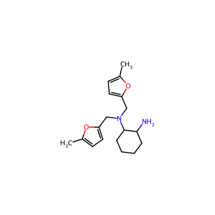 Cc1ccc(CN(Cc2ccc(C)o2)C2CCCCC2N)o1